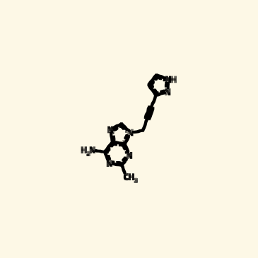 Cc1nc(N)c2ncn(CC#Cc3cc[nH]n3)c2n1